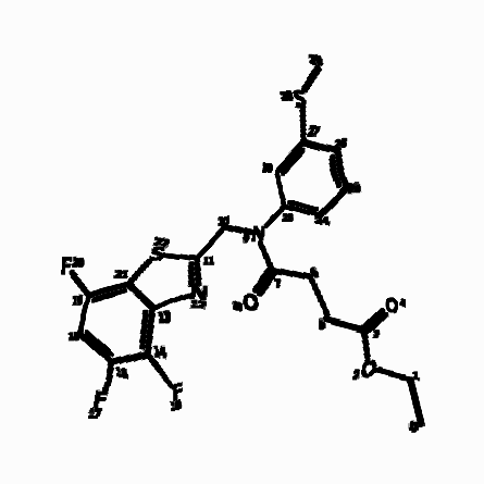 CCOC(=O)CCC(=O)N(Cc1nc2c(F)c(F)cc(F)c2s1)c1cccc(SC)c1